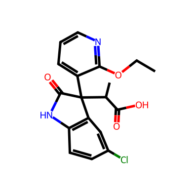 CCOc1ncccc1C1(C(C)C(=O)O)C(=O)Nc2ccc(Cl)cc21